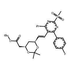 CC(C)c1nc(S(C)(=O)=O)nc(-c2ccc(F)cc2)c1/C=C/[C@@H]1C[C@H](CC(=O)OC(C)(C)C)OC(C)(C)O1